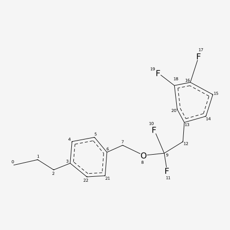 CCCc1ccc(COC(F)(F)Cc2ccc(F)c(F)c2)cc1